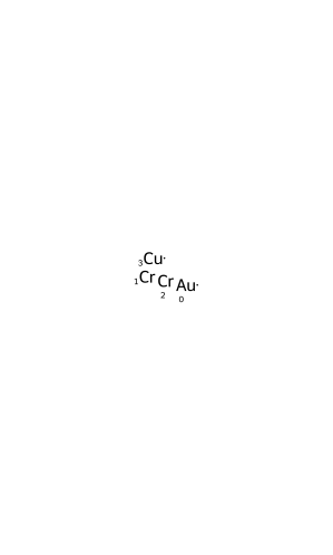 [Au].[Cr].[Cr].[Cu]